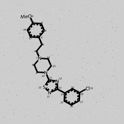 COc1ccc(CCN2CCN(c3nc(-c4cccc(Cl)c4)ns3)CC2)cc1